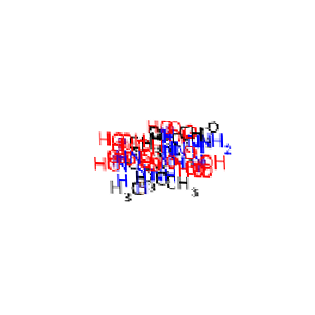 CSCC[C@H](NC(=O)[C@H](CC(C)C)NC(=O)[C@H](Cc1cn(P(=O)(O)O)c2ccccc12)NC(=O)[C@H](CCC(=O)NP(=O)(O)O)NC(=O)[C@@H](NC(=O)[C@@H](N)Cc1ccccc1)C(C)C)C(=O)N[C@@H](CC(=O)NP(=O)(O)O)C(=O)N[C@H](C(=O)O)[C@@H](C)OP(=O)(O)O